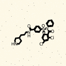 O=C(NCCCC1CCNCC1)c1ccc(S(=O)(=O)N(C(=O)c2ccc(Cl)cc2Cl)c2ccccc2)cc1